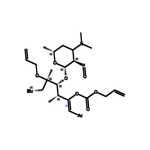 C=CCOC(=O)O/C(=C\C(C)=O)[C@H](C)[C@@H](O[C@@H]1O[C@H](C)CC(N(C)C)[C@H]1P=O)[C@@](C)(C[C@@H](C)CC)OCC=C